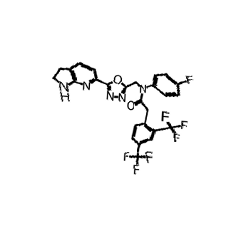 O=C(Cc1ccc(C(F)(F)F)cc1C(F)(F)F)N(Cc1nnc(-c2ccc3c(n2)NCC3)o1)c1ccc(F)cc1